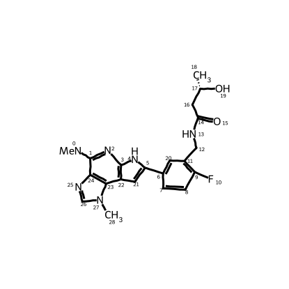 CNc1nc2[nH]c(-c3ccc(F)c(CNC(=O)C[C@H](C)O)c3)cc2c2c1ncn2C